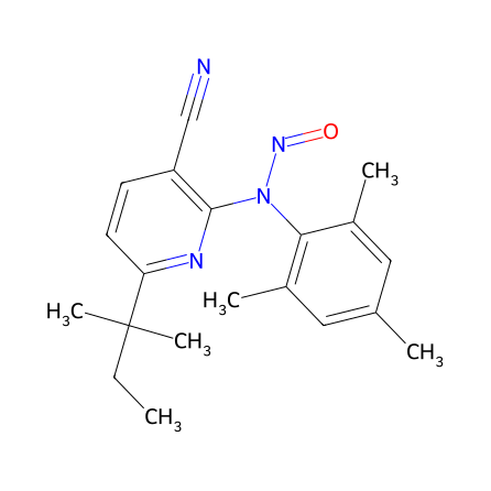 CCC(C)(C)c1ccc(C#N)c(N(N=O)c2c(C)cc(C)cc2C)n1